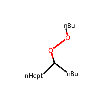 CCCCCCCC(CCCC)OOCCCC